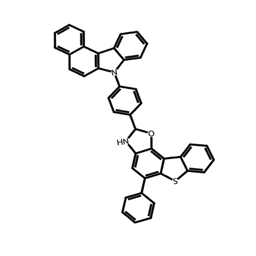 c1ccc(-c2cc3c(c4c2sc2ccccc24)OC(c2ccc(-n4c5ccccc5c5c6ccccc6ccc54)cc2)N3)cc1